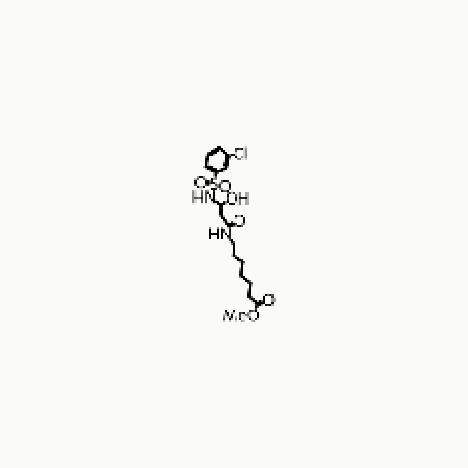 COC(=O)CCCCCCNC(=O)CC(O)NS(=O)(=O)c1cccc(Cl)c1